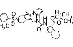 Cc1ccccc1S(=O)(=O)N1CCc2c(sc(-n3cccc3)c2CNC(=O)Nc2sc3c(c2C(=O)OC(C)(C)C)CCCC3)C1